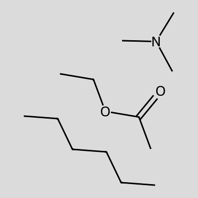 CCCCCC.CCOC(C)=O.CN(C)C